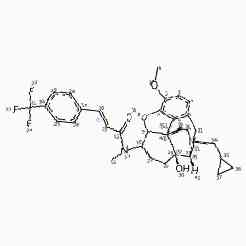 COc1ccc2c3c1OC1C(N(C)C(=O)/C=C/c4ccc(C(F)(F)F)cc4)CC[C@@]4(O)[C@@H](C2)N(CC2CC2)CC[C@]314